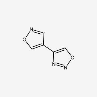 [c]1nocc1-c1conn1